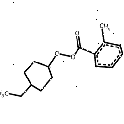 CCC1CC[C](OOC(=O)c2ccccc2C)CC1